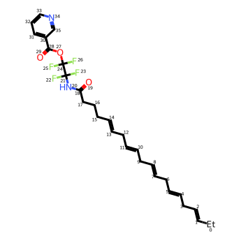 CCC=CCC=CCC=CCC=CCC=CCCCC(=O)NC(F)(F)C(F)(F)OC(=O)c1cccnc1